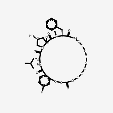 CC(C)C[C@H]1NC(=O)c2ccc(F)cc2OCC(=O)OCCCCCCCCNC(=O)[C@H](Cc2ccccc2)N(C)C(=O)[C@H]2C[C@H](O)CN2C1=O